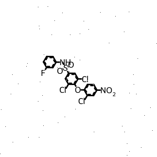 O=[N+]([O-])c1ccc(Oc2c(Cl)cc(S(=O)(=O)Nc3cccc(F)c3)cc2Cl)c(Cl)c1